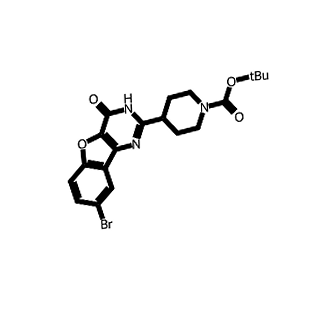 CC(C)(C)OC(=O)N1CCC(c2nc3c(oc4ccc(Br)cc43)c(=O)[nH]2)CC1